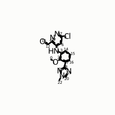 COc1c(Nc2cc(Cl)nnc2C=O)cccc1-c1ncn(C)n1